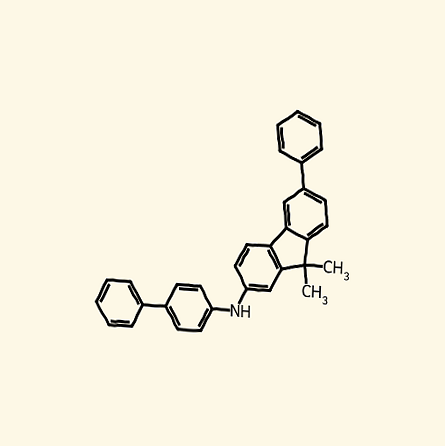 CC1(C)c2ccc(-c3ccccc3)cc2-c2ccc(Nc3ccc(-c4ccccc4)cc3)cc21